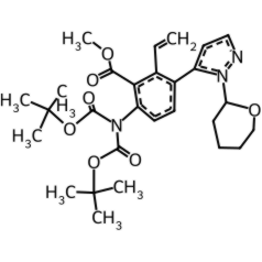 C=Cc1c(-c2ccnn2C2CCCCO2)ccc(N(C(=O)OC(C)(C)C)C(=O)OC(C)(C)C)c1C(=O)OC